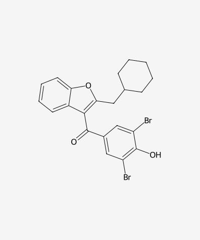 O=C(c1cc(Br)c(O)c(Br)c1)c1c(CC2CCCCC2)oc2ccccc12